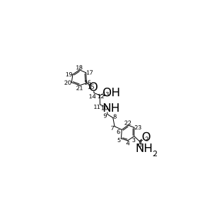 NC(=O)c1ccc(CCCNCC(O)COc2ccccc2)cc1